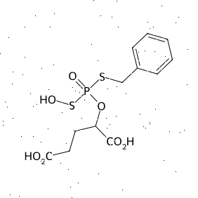 O=C(O)CCC(OP(=O)(SO)SCc1ccccc1)C(=O)O